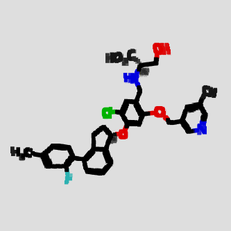 Cc1ccc(-c2cccc3c2CC[C@@H]3Oc2cc(OCc3cncc(C#N)c3)c(CN[C@@H](CO)C(=O)O)cc2Cl)c(F)c1